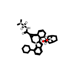 CN1CC2CCC(C1)N2C(=O)[C@@H]1CC=CC2=C3C(=C3C(=O)NS(=O)(=O)N(C)C)Cn3c(cc4cccc(C5CCCCC5)c43)[C@@H]21